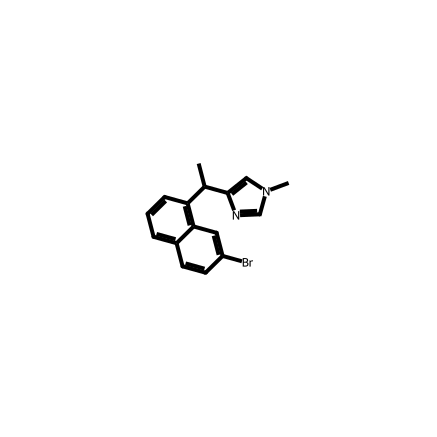 CC(c1cn(C)cn1)c1cccc2ccc(Br)cc12